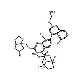 C=C1CN2CCCC2(COc2nc(N3C[C@H]4CC[C@@H](C3)N4C(=O)OC(C)(C)C)c3cnc(-c4cc(OCOC)cc5cccc(F)c45)c(F)c3n2)C1